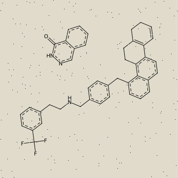 FC(F)(F)c1cccc(CCNCc2ccc(Cc3cccc4ccc5c(c34)CCC3=C5C=CCC3)cc2)c1.O=c1[nH]ncc2ccccc12